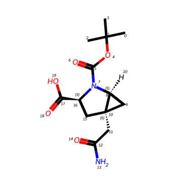 CC(C)(C)OC(=O)N1[C@H]2C[C@@]2(CC(N)=O)C[C@H]1C(=O)O